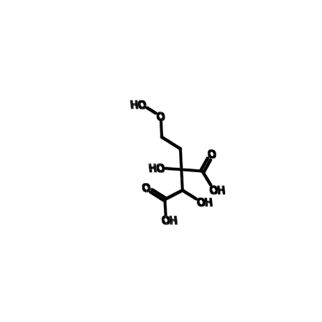 O=C(O)C(O)C(O)(CCOO)C(=O)O